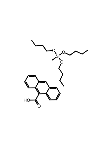 CCCCO[Si](C)(OCCCC)OCCCC.O=C(O)c1c2ccccc2cc2ccccc12